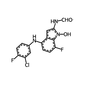 O=[C]Nc1cc2c(Nc3ccc(F)c(Cl)c3)ccc(F)c2n1O